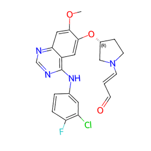 COc1cc2ncnc(Nc3ccc(F)c(Cl)c3)c2cc1O[C@@H]1CCN(C=CC=O)C1